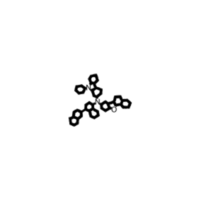 c1ccc(-n2c3ccccc3c3ccc(N(c4ccc5oc6c7ccccc7ccc6c5c4)c4ccc(-c5ccc6ccccc6c5)c5ccccc45)cc32)cc1